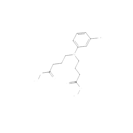 COC(=O)CCCN(CCCC(=O)OC)c1cccc(O)c1